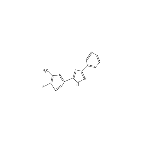 Cc1nc(-c2cc(-c3ccccc3)n[nH]2)ccc1F